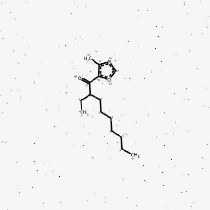 CCCCCCCC(CC)C(=O)c1ocnc1C